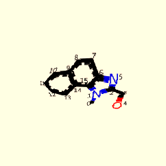 Cn1c(C=O)nc2ccc3ccccc3c21